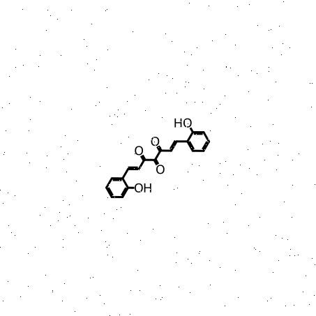 O=C(C=Cc1ccccc1O)C(=O)C(=O)C=Cc1ccccc1O